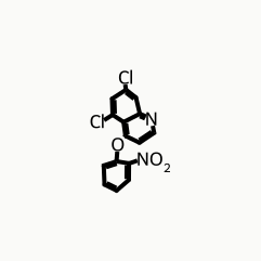 O=[N+]([O-])c1ccccc1Oc1ccnc2cc(Cl)cc(Cl)c12